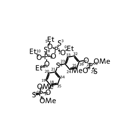 CCOP(=S)(OCC)OP(=S)(OCC)OCC.COP(=S)(OC)Oc1ccc(Sc2ccc(OP(=S)(OC)OC)cc2)cc1